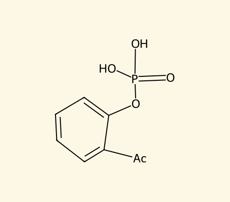 CC(=O)c1ccccc1OP(=O)(O)O